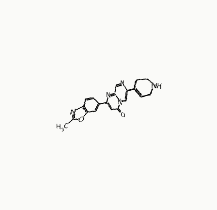 Cc1nc2ccc(-c3cc(=O)n4cc(C5=CCNCC5)ncc4n3)cc2o1